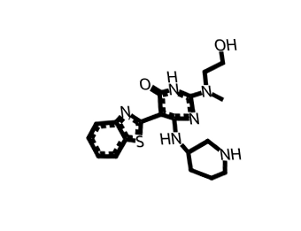 CN(CCO)c1nc(NC2CCCNC2)c(-c2nc3ccccc3s2)c(=O)[nH]1